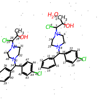 CC(O)C(Cl)N1CCN(C(c2ccccc2)c2ccc(Cl)cc2)CC1.CC(O)C(Cl)N1CCN(C(c2ccccc2)c2ccc(Cl)cc2)CC1.O